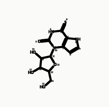 O=c1[nH]c(=S)c2[nH]ccc2n1C1OC(CO)C(O)C1O